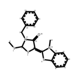 CSC1SC(=C2Sc3ccccc3N2C)C(=O)N1Cc1ccccc1